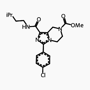 COC(=O)N1CCn2c(-c3ccc(Cl)cc3)nc(C(=O)NCCC(C)C)c2C1